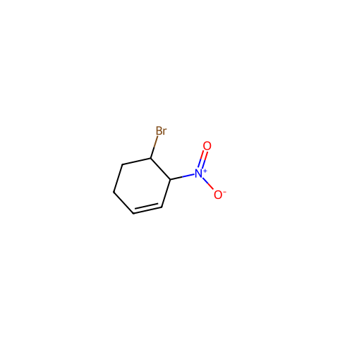 O=[N+]([O-])C1C=CCCC1Br